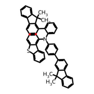 CC1(C)c2ccccc2-c2ccc(-c3ccc(N(c4ccccc4-c4cccc5c4C(C)(C)c4ccccc4-5)c4cccc5sc6ccccc6c45)cc3)cc21